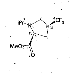 COC(=O)[C@@H]1C[C@H](C(F)(F)F)CN1C(C)C